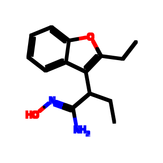 CCc1oc2ccccc2c1C(CC)C(N)=NO